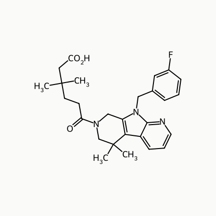 CC(C)(CCC(=O)N1Cc2c(c3cccnc3n2Cc2cccc(F)c2)C(C)(C)C1)CC(=O)O